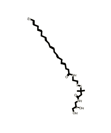 CCC=CCC=CCC=CCC=CCC=CCC=CCCC(=O)NCCSSC(C)(C)CC(=O)NC[C@@H](O)CO